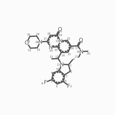 CC1Cc2c(F)cc(F)cc2N1C(C)c1cc(C(=O)N(C)C)cn2c(=O)cc(N3CCOCC3)nc12